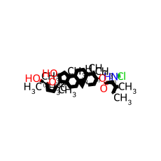 CCC(C)[C@@H](NCl)C(=O)O[C@H]1CC[C@]23CC24CC[C@]2(C)[C@@H]([C@@]5(C)CC[C@@H](C(C)(C)O)O5)[C@@H](O)C[C@@]2(C)C4CC[C@H]3C1(C)C